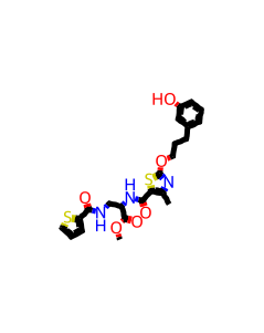 COC(=O)C(CNC(=O)c1cccs1)NC(=O)c1sc(OCCCc2cccc(O)c2)nc1C